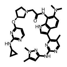 Cc1cnc(Nc2cc(C)n(C)n2)nc1-c1c[nH]c2c(NC(=O)CN3CC[C@H](Oc4ccnc(NC5CC5)n4)C3)c(N(C)C)ccc12